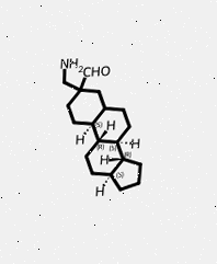 NCC1(C=O)CC[C@H]2C(CC[C@H]3[C@@H]4CCC[C@H]4CC[C@@H]32)C1